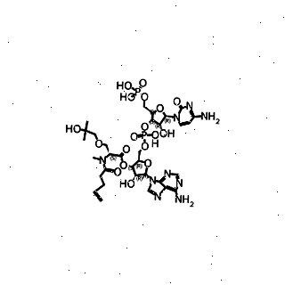 C=CCCC(=O)N(C)[C@@H](COCC(C)(C)O)C(=O)O[C@H]1[C@@H](O)[C@H](n2cnc3c(N)ncnc32)O[C@@H]1COP(=O)(O)O[C@H]1[C@@H](O)[C@H](n2ccc(N)nc2=O)O[C@@H]1COP(=O)(O)O